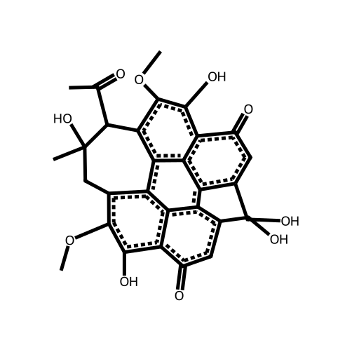 COc1c(O)c2c(=O)cc(CO)c3c4c(CO)cc(=O)c5c(O)c(OC)c6c(c(c1CC(C)(O)C6C(C)=O)c23)c54